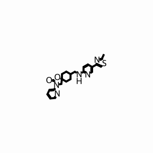 Cc1nc(-c2ccc(NCC3CCC4(CC3)CN(c3ccccn3)C(=O)O4)nc2)cs1